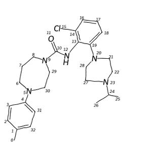 Cc1ccc(N2CCCN(C(=O)Nc3c(Cl)cccc3N3CCN(C(C)C)CC3)CC2)cc1